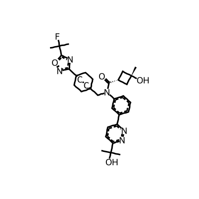 CC(C)(O)c1ccc(-c2cccc(N(CC34CCC(c5noc(C(C)(C)F)n5)(CC3)CC4)C(=O)[C@H]3C[C@@](C)(O)C3)c2)nn1